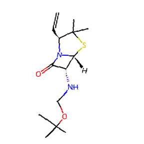 C=C[C@@H]1N2C(=O)[C@@H](NCOC(C)(C)C)[C@H]2SC1(C)C